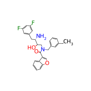 CCc1cccc(CN(C[C@@H](O)[C@@H](N)Cc2cc(F)cc(F)c2)C(=O)c2coc3ccccc23)c1